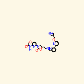 O=C1COc2ccc(N3CC(CCNCc4cccc(-c5cccc(OCC6CNC6)n5)c4)OC3=O)nc2N1